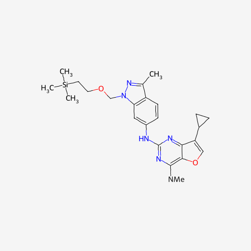 CNc1nc(Nc2ccc3c(C)nn(COCC[Si](C)(C)C)c3c2)nc2c(C3CC3)coc12